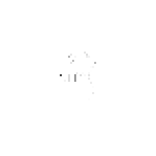 CCc1ccsc1.N